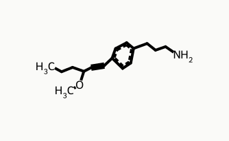 CCCC(C#Cc1ccc(CCCN)cc1)OC